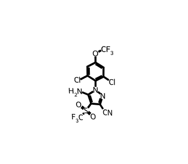 N#Cc1nn(-c2c(Cl)cc(OC(F)(F)F)cc2Cl)c(N)c1S(=O)(=O)C(F)(F)F